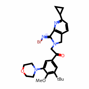 COc1c(N2CCOCC2)cc(C(=O)CN2Cc3ccc(C4CC4)nc3/C2=N/Br)cc1C(C)(C)C